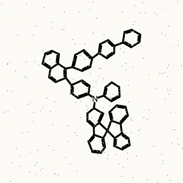 C1=CC(N(c2ccc(-c3ccc4ccccc4c3-c3ccc(-c4ccc(-c5ccccc5)cc4)cc3)cc2)C2C=C3C(=CC2)c2ccccc2C32c3ccccc3-c3ccccc32)=CCC1